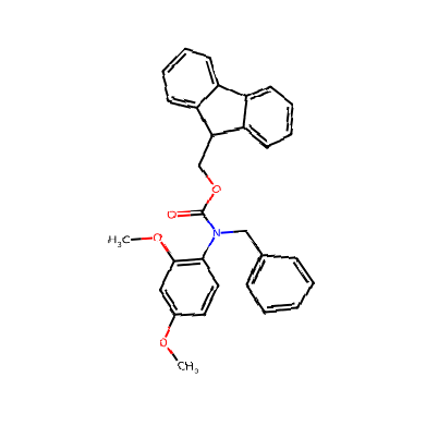 COc1ccc(N(Cc2ccccc2)C(=O)OCC2c3ccccc3-c3ccccc32)c(OC)c1